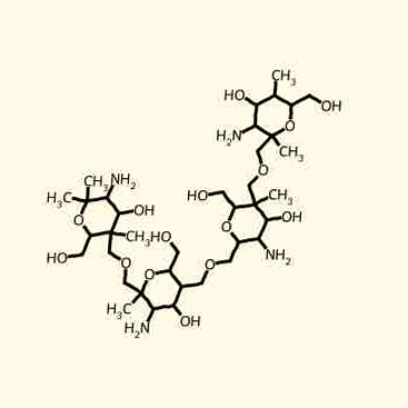 CC1C(CO)OC(C)(COCC2(C)C(CO)OC(COCC3C(CO)OC(C)(COCC4(C)C(CO)OC(C)(C)C(N)C4O)C(N)C3O)C(N)C2O)C(N)C1O